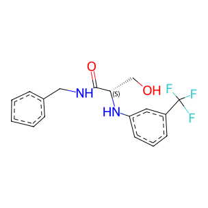 O=C(NCc1ccccc1)[C@H](CO)Nc1cccc(C(F)(F)F)c1